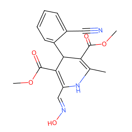 COC(=O)C1=C(C)NC(C=NO)=C(C(=O)OC)C1c1ccccc1C#N